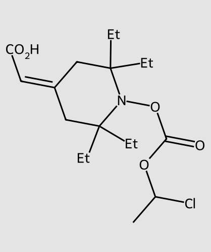 CCC1(CC)CC(=CC(=O)O)CC(CC)(CC)N1OC(=O)OC(C)Cl